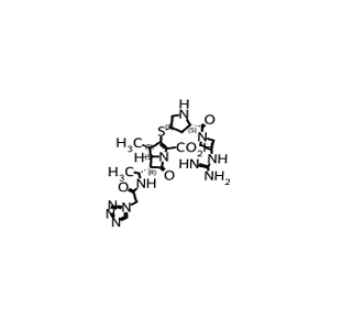 CC(NC(=O)Cn1cnnn1)[C@H]1C(=O)N2C(C(=O)O)=C(S[C@@H]3CN[C@H](C(=O)N4CC(NC(=N)N)C4)C3)[C@H](C)[C@H]12